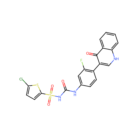 O=C(Nc1ccc(-c2c[nH]c3ccccc3c2=O)c(F)c1)NS(=O)(=O)c1ccc(Cl)s1